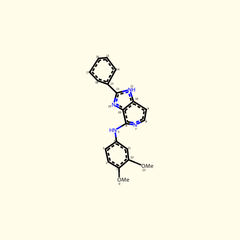 COc1ccc(Nc2nccc3[nH]c(-c4ccccc4)nc23)cc1OC